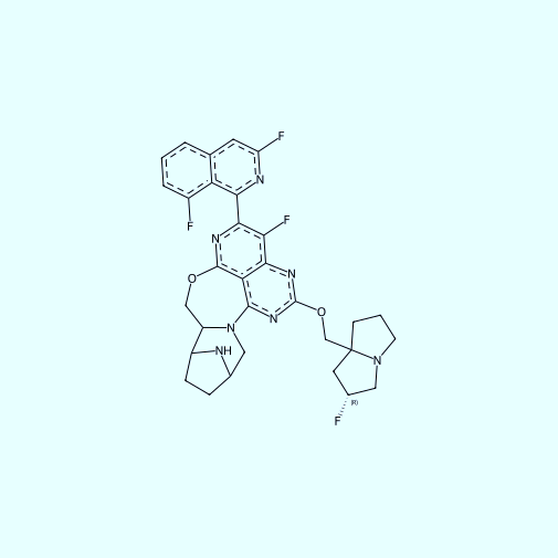 Fc1cc2cccc(F)c2c(-c2nc3c4c(nc(OCC56CCCN5C[C@H](F)C6)nc4c2F)N2CC4CCC(N4)C2CO3)n1